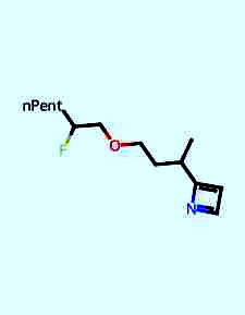 CCCCCC(F)COCCC(C)C1=CC=N1